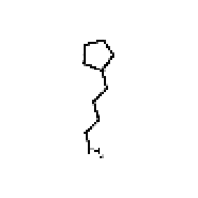 CCCCC[C]1CCCC1